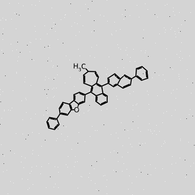 CC1C=Cc2c(c(-c3ccc4c(c3)oc3cc(-c5ccccc5)ccc34)c3ccccc3c2-c2ccc3cc(-c4ccccc4)ccc3c2)C=C1